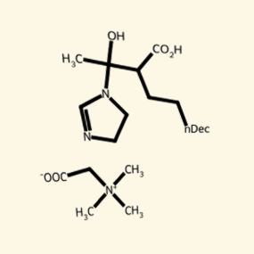 CCCCCCCCCCCCC(C(=O)O)C(C)(O)N1C=NCC1.C[N+](C)(C)CC(=O)[O-]